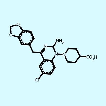 NC1N=C(Cc2ccc3c(c2)OCO3)c2cc(Cl)ccc2N1N1CCC(C(=O)O)CC1